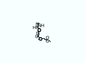 CCOC(=O)C=Cc1cccc(C(=O)COc2cccc(NC3=NCCN3)c2)c1